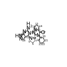 Nc1nc(N2CCC[C@H]2c2nn3cccc3c(=O)n2-c2ccccc2)c2cn[nH]c2n1